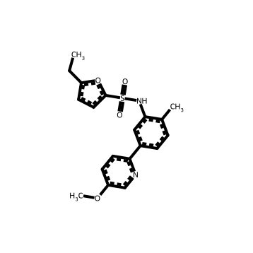 CCc1ccc(S(=O)(=O)Nc2cc(-c3ccc(OC)cn3)ccc2C)o1